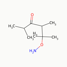 CC(C)C(=O)C(C)C(C)(C)ON